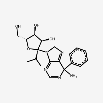 CC(C)[C@@]1(N2CN=C3C2=NC=NC3(N)c2ccccc2)O[C@H](CO)[C@@H](O)[C@H]1O